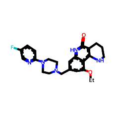 CCOc1cc(CN2CCN(c3ccc(F)cn3)CC2)cc2[nH]c(=O)c3c(c12)NCCC3